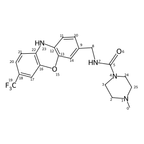 CN1CCN(C(=O)NCc2ccc3c(c2)Oc2cc(C(F)(F)F)ccc2N3)CC1